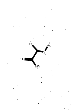 CCCC(=O)C(CC)SC(C)=O